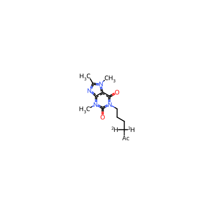 [2H]C([2H])(CCCn1c(=O)c2c(nc(C)n2C)n(C)c1=O)C(C)=O